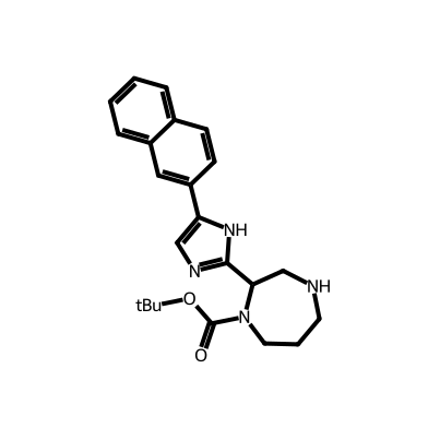 CC(C)(C)OC(=O)N1CCCNCC1c1ncc(-c2ccc3ccccc3c2)[nH]1